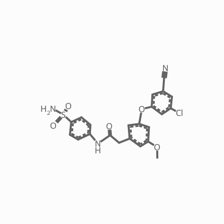 COc1cc(CC(=O)Nc2ccc(S(N)(=O)=O)cc2)cc(Oc2cc(Cl)cc(C#N)c2)c1